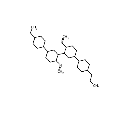 C=NC1CCC(C2CCC(CC)CC2)CC1C1CC(C2CCC(CCC)CC2)CCC1N=C